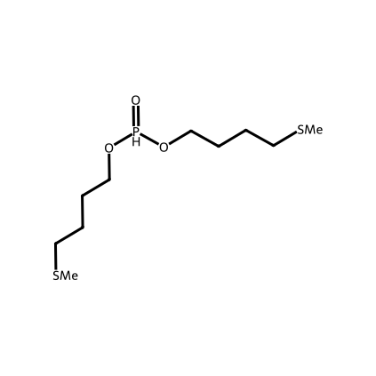 CSCCCCO[PH](=O)OCCCCSC